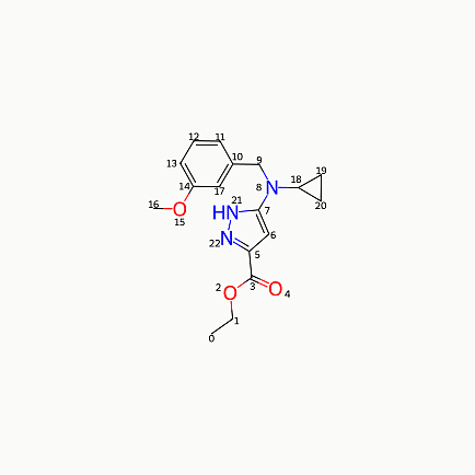 CCOC(=O)c1cc(N(Cc2cccc(OC)c2)C2CC2)[nH]n1